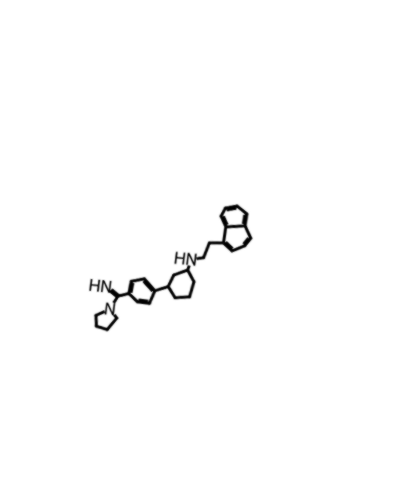 N=C(c1ccc(C2CCCC(NCCc3cccc4ccccc34)C2)cc1)N1CCCC1